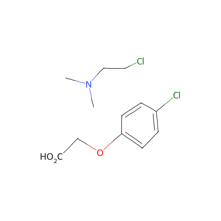 CN(C)CCCl.O=C(O)COc1ccc(Cl)cc1